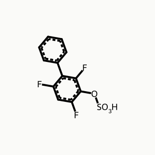 O=S(=O)(O)Oc1c(F)cc(F)c(-c2ccccc2)c1F